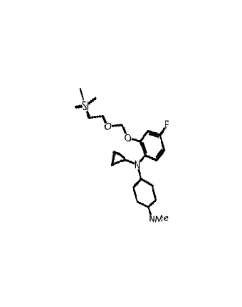 CNC1CCC(N(c2ccc(F)cc2OCOCC[Si](C)(C)C)C2CC2)CC1